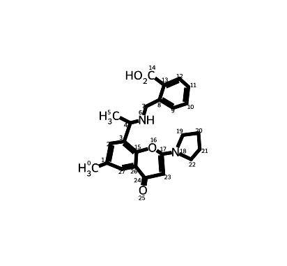 Cc1cc(C(C)NCc2ccccc2C(=O)O)c2oc(N3CCCC3)cc(=O)c2c1